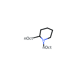 CCCCCCCCC1CCCCN1CCCCCCCC